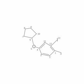 Cc1ccc(OC2CCCC2)cc1I